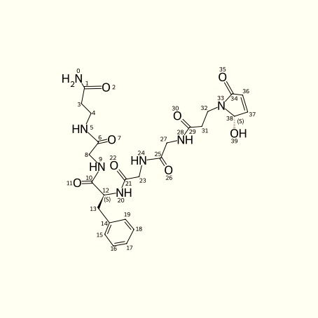 NC(=O)CCNC(=O)CNC(=O)[C@H](Cc1ccccc1)NC(=O)CNC(=O)CNC(=O)CCN1C(=O)C=C[C@@H]1O